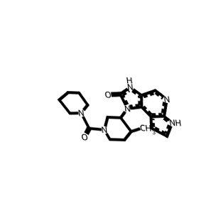 CC1CCN(C(=O)N2CCCCC2)CC1n1c(=O)[nH]c2cnc3[nH]ccc3c21